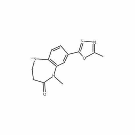 Cc1nnc(-c2ccc3c(c2)N(C)C(=O)CCN3)o1